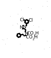 O=C(O)[C@H](CCc1ccccc1)N(CCc1cncn1Cc1cc(Cl)cc(Cl)c1)C(=O)O